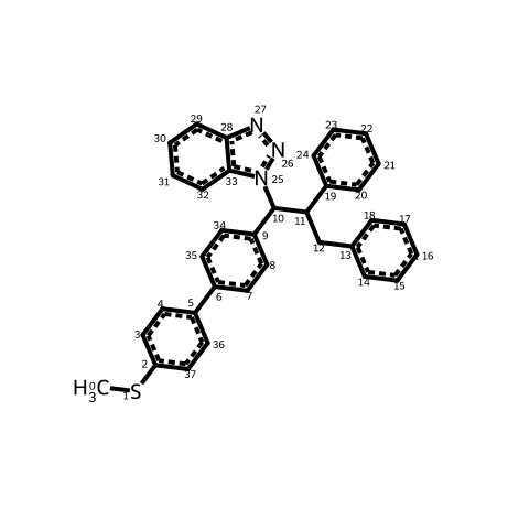 CSc1ccc(-c2ccc(C(C(Cc3cc[c]cc3)c3ccccc3)n3nnc4ccccc43)cc2)cc1